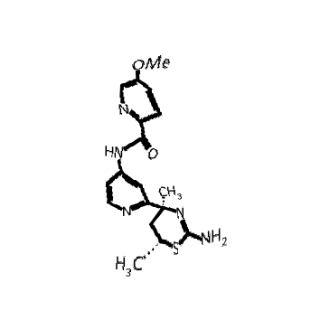 COc1ccc(C(=O)Nc2ccnc([C@]3(C)C[C@@H](C)SC(N)=N3)c2)nc1